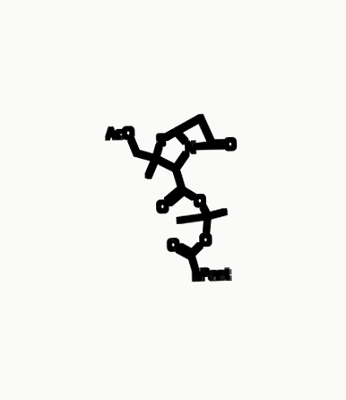 CCCCCC(=O)OC(C)(C)OC(=O)C1N2C(=O)CC2SC1(C)COC(C)=O